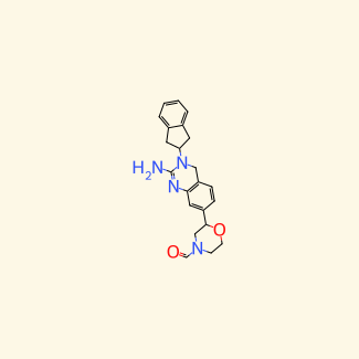 NC1=Nc2cc(C3CN(C=O)CCO3)ccc2CN1C1Cc2ccccc2C1